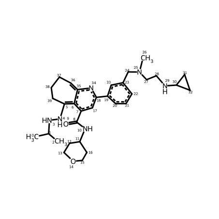 CC(C)NNC1=c2c(C(=O)NC3CCOCC3)cc(-c3cccc(CN(C)CCNC4CC4)c3)nc2=CCCC1